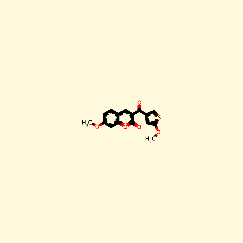 COc1ccc2cc(C(=O)c3csc(OC)c3)c(=O)oc2c1